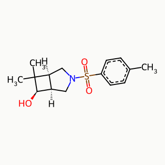 Cc1ccc(S(=O)(=O)N2C[C@H]3[C@@H](O)C(C)(C)[C@H]3C2)cc1